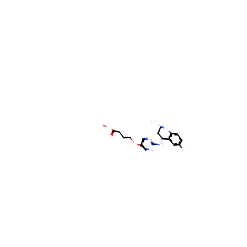 CC[C@@H]1C[C@H](Nc2ncc(OCCCC(=O)OC(C)(C)C)cn2)c2cc(C(F)(F)F)ccc2N1